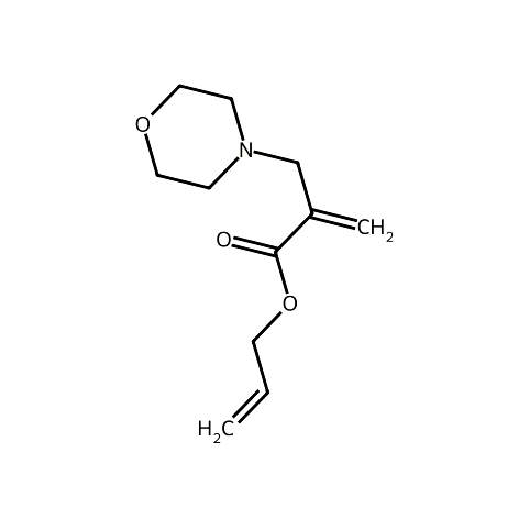 C=CCOC(=O)C(=C)CN1CCOCC1